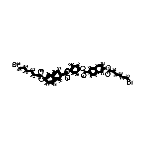 Cc1cc(OC(=O)c2ccc3cc(OC(=O)CCCCCBr)ccc3c2)ccc1OC(=O)c1ccc2cc(OC(=O)CCCCCBr)ccc2c1